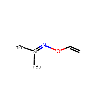 C=CON=[Si](CCC)CCCC